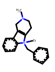 CC[N+]1(Cc2ccccc2)C2=C(CN(C)CC2)c2ccccc21